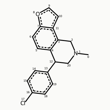 CN1Cc2c(ccc3occc23)C(c2ccc(Cl)cc2)C1